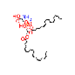 CC/C=C\C/C=C\C/C=C\C/C=C\C/C=C\CCCC(=O)OC[C@H](COP(=O)(O)OC[C@H](N)C(=O)O)OC(=O)CCCC/C=C\C/C=C\C/C=C\C/C=C\CC